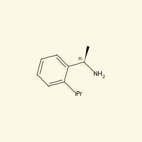 CC(C)c1ccccc1[C@@H](C)N